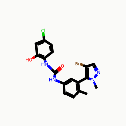 Cc1ccc(NC(=O)Nc2ccc(Cl)cc2O)cc1-c1c(Br)cnn1C